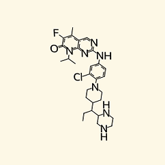 CCC(C1CCN(c2ccc(Nc3ncc4c(C)c(F)c(=O)n(C(C)C)c4n3)cc2Cl)CC1)C1CNCCN1